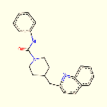 O=C(Nc1ccccc1)N1CCC(Cc2ccc3ccccc3n2)CC1